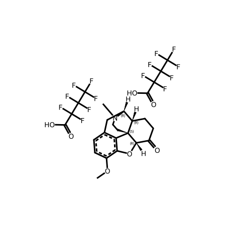 COc1ccc2c3c1O[C@H]1C(=O)CC[C@H]4[C@@H](C2)N(C)CC[C@]314.O=C(O)C(F)(F)C(F)(F)C(F)(F)F.O=C(O)C(F)(F)C(F)(F)C(F)(F)F